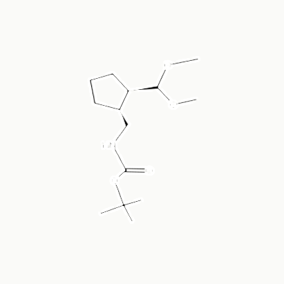 COC(OC)[C@@H]1CCC[C@@H]1CNC(=O)OC(C)(C)C